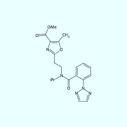 COC(=O)c1nc(CCN(C(=O)c2ccccc2-n2nccn2)C(C)C)oc1C